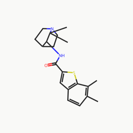 Cc1ccc2cc(C(=O)NC3C4CCN(CC4)C3(C)C)sc2c1C